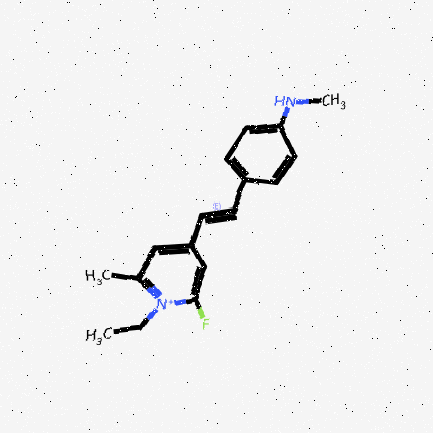 CC[n+]1c(C)cc(/C=C/c2ccc(NC)cc2)cc1F